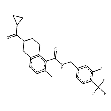 Cc1ccc2c(c1C(=O)NCc1ccc(C(F)(F)F)c(F)c1)CCN(C(=O)C1CC1)C2